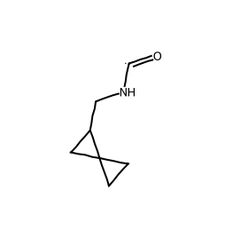 O=[C]NCC1CC12CC2